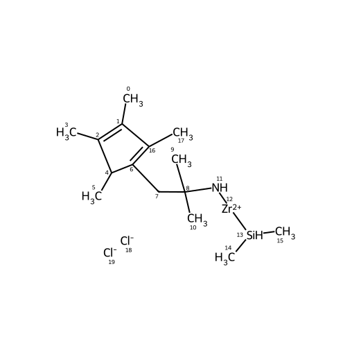 CC1=C(C)C(C)C(CC(C)(C)[NH][Zr+2][SiH](C)C)=C1C.[Cl-].[Cl-]